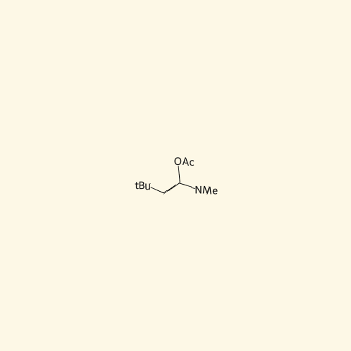 CNC(CC(C)(C)C)OC(C)=O